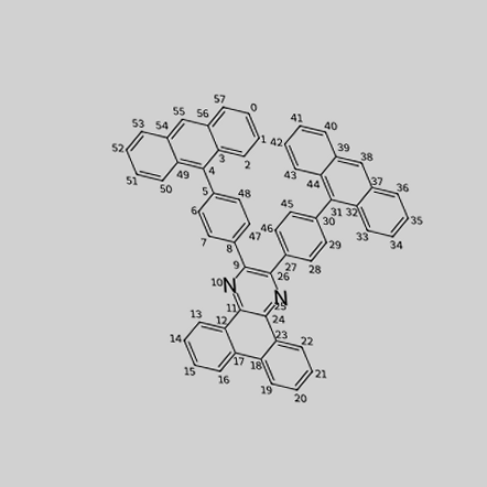 c1ccc2c(-c3ccc(-c4nc5c6ccccc6c6ccccc6c5nc4-c4ccc(-c5c6ccccc6cc6ccccc56)cc4)cc3)c3ccccc3cc2c1